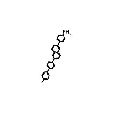 Cc1ccc(-c2ccc(-c3ccc4cc(-c5ccc(P)cc5)ccc4c3)cc2)cc1